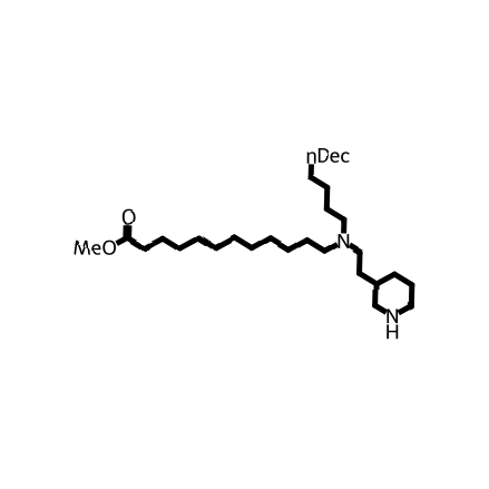 CCCCCCCCCCCCCCN(CCCCCCCCCCCC(=O)OC)CCC1CCCNC1